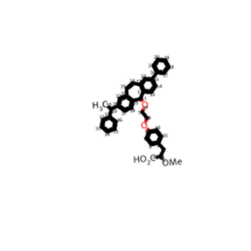 COC(Cc1ccc(OCCOC2c3ccc(-c4ccccc4)cc3C=Cc3cc(C(C)c4ccccc4)ccc32)cc1)C(=O)O